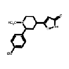 CC(C)(C)c1ccc(C2CC(c3cc(=O)[nH]o3)CCN2C(=O)O)cc1